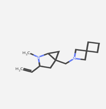 C=CC1CC2(CN3CC4(CCC4)C3)CC2N1C